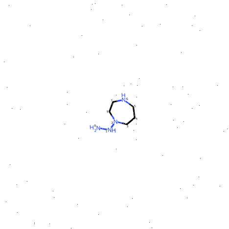 NNN1CCCNCC1